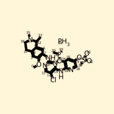 COc1cc2c(cc1Nc1ncc(Cl)c(Nc3ncc(OS(=O)(=O)F)cc3OP(C)C)n1)C(C)N(C)CC2.P